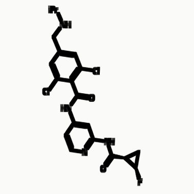 CC(C)NCc1cc(Cl)c(C(=O)Nc2ccnc(NC(=O)[C@H]3C[C@H]3F)c2)c(Cl)c1